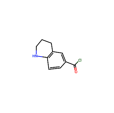 O=C(Cl)c1ccc2c(c1)CCCN2